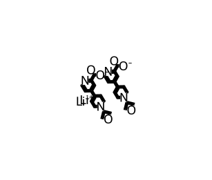 O=C([O-])c1cc(C2=CCN(C3COC3)CC2)ccn1.O=C([O-])c1cc(C2=CCN(C3COC3)CC2)ccn1.[Li+].[Li+]